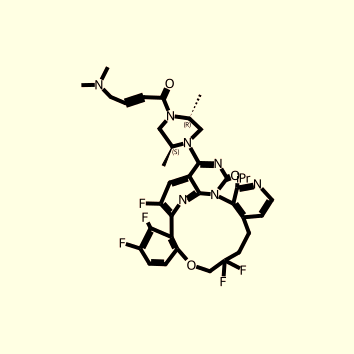 CC(C)c1nccc2c1-n1c(=O)nc(N3C[C@@H](C)N(C(=O)C#CCN(C)C)C[C@@H]3C)c3cc(F)c(nc31)-c1c(ccc(F)c1F)OCC(F)(F)CC2